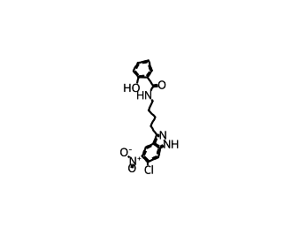 O=C(NCCCCc1n[nH]c2cc(Cl)c([N+](=O)[O-])cc12)c1ccccc1O